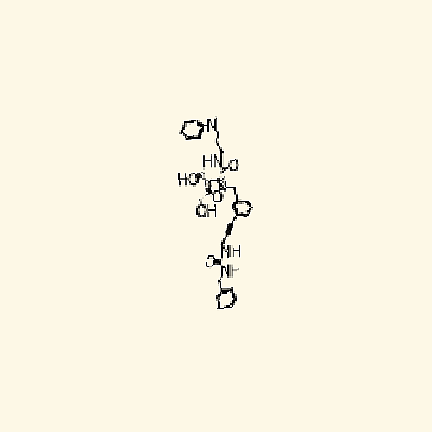 C[C@@H](O)[C@H]1[C@@H](CO)ON(Cc2cccc(C#CCNC(=O)NCc3ccccc3)c2)[C@H]1C(=O)NCCCN(C)c1ccccc1